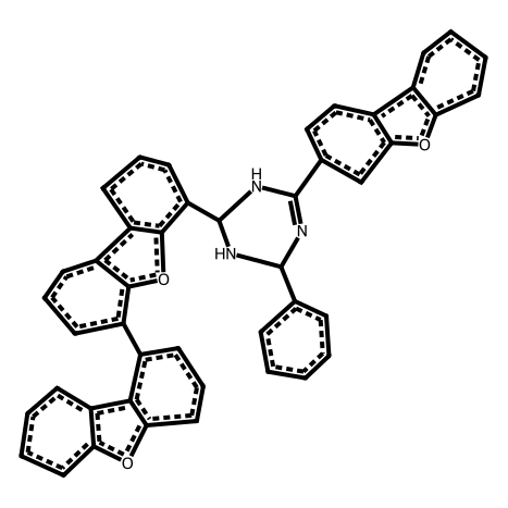 c1ccc(C2N=C(c3ccc4c(c3)oc3ccccc34)NC(c3cccc4c3oc3c(-c5cccc6oc7ccccc7c56)cccc34)N2)cc1